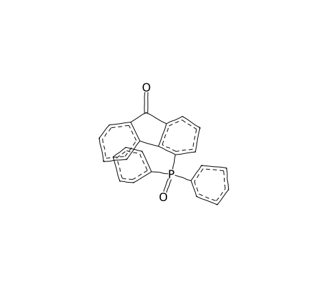 O=C1c2ccccc2-c2c1cccc2P(=O)(c1ccccc1)c1ccccc1